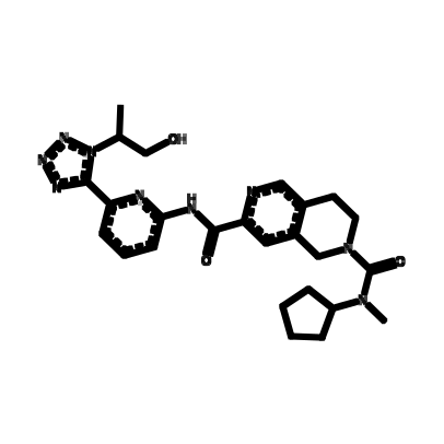 CC(CO)n1nnnc1-c1cccc(NC(=O)c2cc3c(cn2)CCN(C(=O)N(C)C2CCCC2)C3)n1